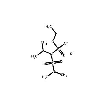 CCOP([O-])(=S)N(C(C)C)S(=O)(=O)N(C)C.[K+]